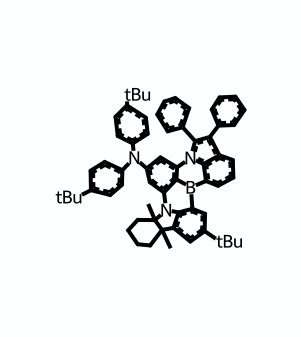 CC(C)(C)c1ccc(N(c2ccc(C(C)(C)C)cc2)c2cc3c4c(c2)-n2c(-c5ccccc5)c(-c5ccccc5)c5cccc(c52)B4c2cc(C(C)(C)C)cc4c2N3C2(C)CCCCC42C)cc1